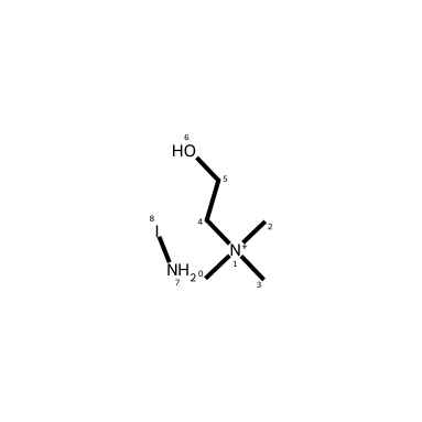 C[N+](C)(C)CCO.NI